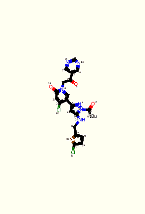 CC(C)(C)C(=O)n1nc(-c2cn(CC(=O)c3cncnc3)c(=O)cc2Cl)cc1NCc1ccc(Cl)s1